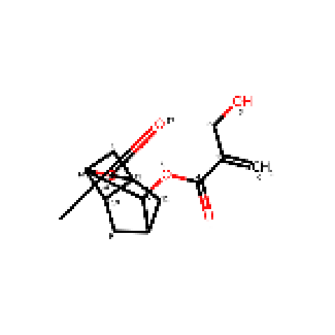 C=C(CO)C(=O)OC1C2CC3C4(C2)CC13OC4=O